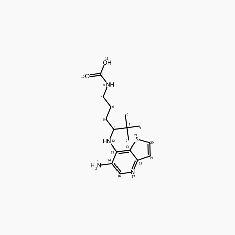 CC(C)(C)C(CCCNC(=O)O)Nc1c(N)cnc2ccsc12